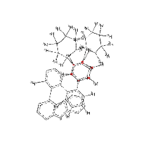 [2H]c1ccc(-c2nnnc(C3([2H])C([2H])C([2H])([2H])C([2H])([2H])C([2H])([2H])C3([2H])[2H])c2C2([2H])C([2H])C([2H])([2H])C([2H])([2H])C([2H])([2H])C2([2H])[2H])c(-c2c([2H])c([2H])c([2H])c([2H])c2-c2c([2H])c([2H])c([2H])c([2H])c2[2H])c1-c1cccc2sc3ccccc3c12